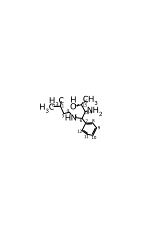 CC(C)CCNC(c1ccccc1)C(N)C(C)O